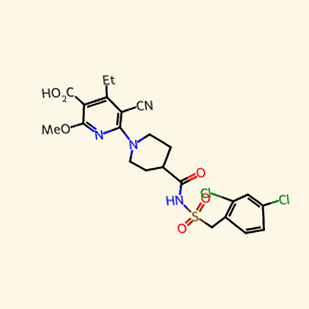 CCc1c(C#N)c(N2CCC(C(=O)NS(=O)(=O)Cc3ccc(Cl)cc3Cl)CC2)nc(OC)c1C(=O)O